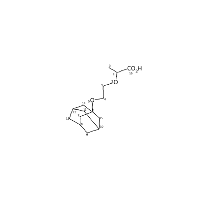 CC(OCCOC12CC3CC(CC(C3)C1)C2)C(=O)O